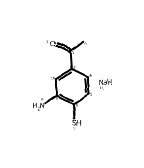 CC(=O)c1ccc(S)c(N)c1.[NaH]